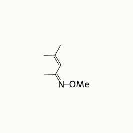 CON=C(C)C=C(C)C